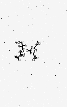 C(OCC1CO1)C1CO1.C=C(C)C(=O)O.C=C(C)C(=O)OCC(C)(C)CO